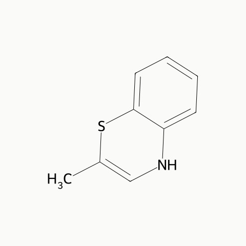 CC1=CNc2ccccc2S1